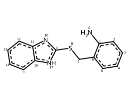 Nc1ccccc1CSc1nc2ccccc2[nH]1